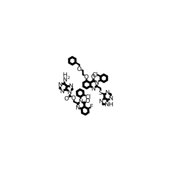 Nc1ncnc2c1ncn2C(=O)OCc1nc2cccc(F)c2c(=O)n1-c1ccccc1Cl.O=c1c2c(OCCOCc3ccccc3)cccc2nc(CSc2ncnc3[nH]cnc23)n1-c1ccccc1Cl